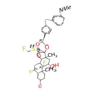 CNc1cccc(Cc2ccc([C@@H]3O[C@@H]4CC5C6C[C@H](F)C7=CC(=O)C=CC7(C)[C@@]6(F)C(O)CC5(C)C4(C(=O)SCF)O3)cc2)c1